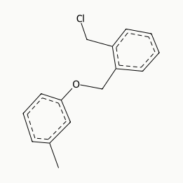 Cc1cccc(OCc2ccccc2CCl)c1